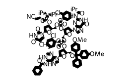 COc1ccc(C(OC[C@H]2O[C@@H](n3cnc4c3N=CNC4NC(=O)c3ccccc3)C[C@@H]2OP(=O)(OC[C@H]2O[C@@H](n3cnc4c(=O)[nH]c(NC(=O)C(C)C)nc43)C[C@@H]2OP(=O)(OC[C@H]2O[C@@H](n3cc(C)c(=O)[nH]c3=O)C[C@@H]2OP(OCCC#N)N(C(C)C)C(C)C)Oc2ccccc2Cl)Oc2ccccc2Cl)(c2ccccc2)c2ccc(OC)cc2)cc1